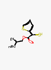 CCCCC(CC)COC(=O)C(S)c1cccs1